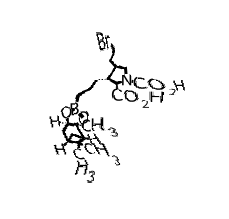 CC1(C)[C@@H]2C[C@H]3OB(CCC[C@@H]4C(CCBr)CN(C(=O)O)[C@H]4C(=O)O)O[C@@]3(C)[C@H]1C2